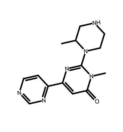 CC1CNCCN1c1nc(-c2ccncn2)cc(=O)n1C